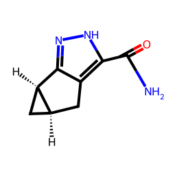 NC(=O)c1[nH]nc2c1C[C@H]1C[C@@H]21